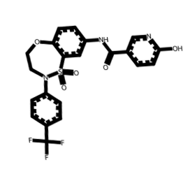 O=C(Nc1ccc2c(c1)S(=O)(=O)N(c1ccc(C(F)(F)F)cc1)CCO2)c1ccc(O)nc1